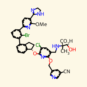 COc1nc(-c2cccc(-c3cccc4c3CC[C@@H]4Oc3nc(OCc4cncc(C#N)c4)c(CN[C@@](C)(CO)C(=O)O)cc3Cl)c2Br)ccc1C1=NCCN1